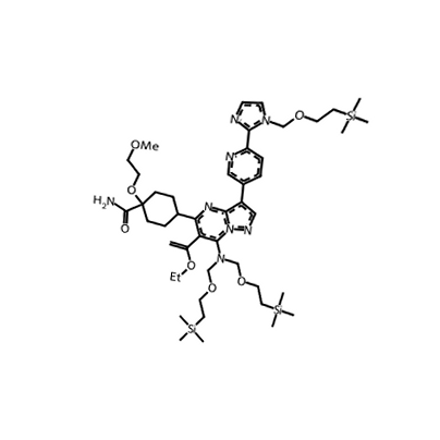 C=C(OCC)c1c(C2CCC(OCCOC)(C(N)=O)CC2)nc2c(-c3ccc(-c4nccn4COCC[Si](C)(C)C)nc3)cnn2c1N(COCC[Si](C)(C)C)COCC[Si](C)(C)C